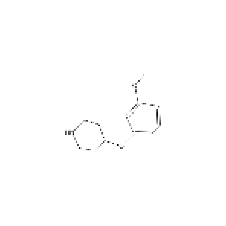 COc1cccc(OC2CCNCC2)c1